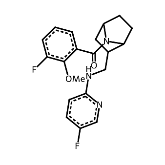 COc1c(F)cccc1C(=O)N1C2CCC1C(CNc1ccc(F)cn1)C2